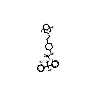 C[C@H](NC(=O)NC1CCC(CCN2C[C@@H]3CC[C@@H](C3)C2)CC1)C(O)(c1ccccc1)c1ccccc1